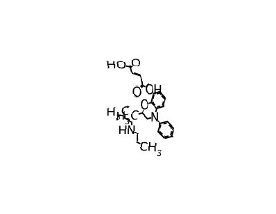 CC1CN(c2ccccc2)c2ccccc2O1.CCCNCCC.O=C(O)C=CC(=O)O